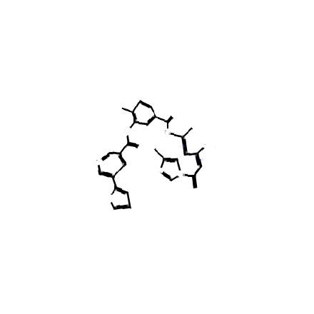 C=C(/C=C(\C=C(/C)NC(=O)c1ccc(C)c(NC(=O)c2cncc(-c3cccs3)c2)c1)C(F)(F)F)n1cnc(C)c1